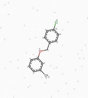 FC(F)(F)c1cccc(O[CH]c2ccc(Cl)cc2)c1